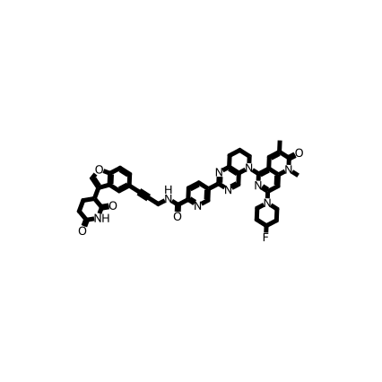 Cc1cc2c(N3CCCc4nc(-c5ccc(C(=O)NCC#Cc6ccc7occ(C8CCC(=O)NC8=O)c7c6)nc5)ncc43)nc(N3CCC(F)CC3)cc2n(C)c1=O